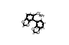 CC(C)Oc1ccc2c(c1-c1cccc3c1OCO3)OCO2